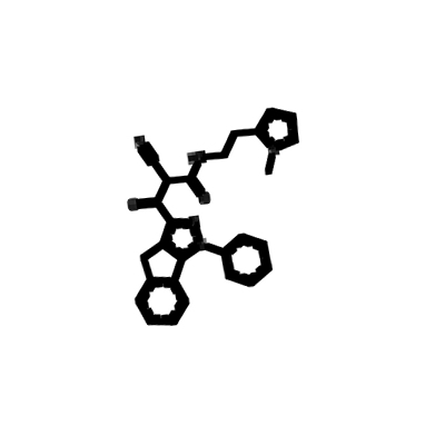 Cn1cccc1CCNC(=O)C(C#N)C(=O)c1nn(-c2ccccc2)c2c1Cc1ccccc1-2